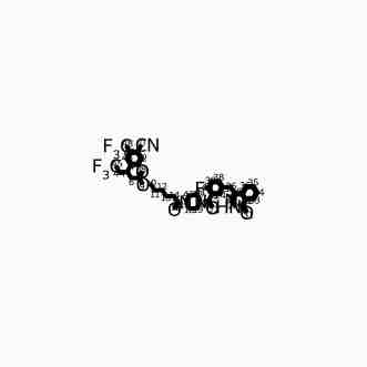 N#Cc1ccc(C(CC(=O)OCCCCCC(=O)N2CCN(C(=O)c3cc(Cc4n[nH]c(=O)c5ccccc45)ccc3F)CC2)CC(F)(F)F)cc1C(F)(F)F